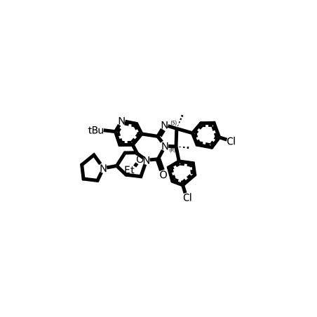 CCOc1cc(C(C)(C)C)ncc1C1=N[C@@](C)(c2ccc(Cl)cc2)[C@@](C)(c2ccc(Cl)cc2)N1C(=O)N1CCC(N2CCCC2)CC1